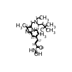 CCN(CCC(C)(C)C)Cc1c(C)nc2cc(C=CC(=O)NO)ccn12